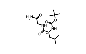 CC(C)C[C@H](NC(=O)OC(C)(C)C)C(=O)NCC(N)=O